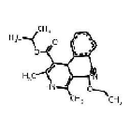 CCOC(=O)C1=C(C)NC(C)=C(C(=O)OC(C)C)C1c1ccccc1C#N